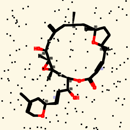 C=C1C[C@H](C)C[C@@H]2CC[C@@H](C/C=C\C(=O)O[C@H]([C@@H](O)/C=C/[C@@H]3CC(C)=CCO3)C[C@@H]3O[C@H]3[C@@H](O)C1)O2